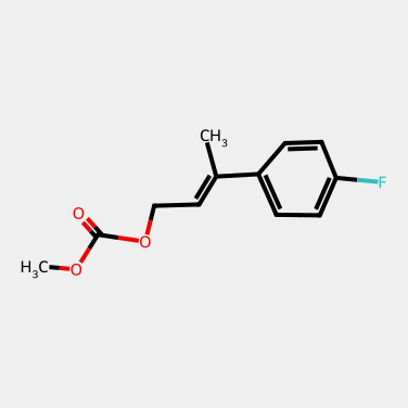 COC(=O)OCC=C(C)c1ccc(F)cc1